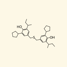 CCC(C)c1cc(CSCc2cc(C(C)CC)c(O)c(C3CCCC3)c2)cc(C2CCCC2)c1O